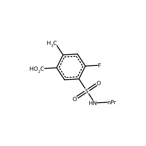 CCCNS(=O)(=O)c1cc(C(=O)O)c(C)cc1F